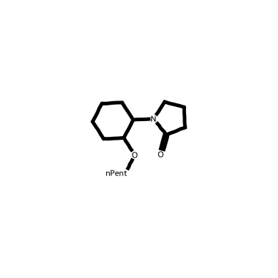 CCCCCOC1CCCCC1N1CCCC1=O